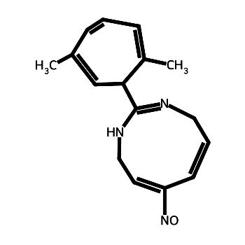 CC1=CC(/C2=N/C/C=C\C(N=O)=C/CN2)C(C)=CC=C1